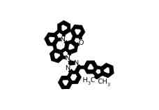 CC1(C)c2ccccc2-c2ccc(-c3nc(-n4c5cccc6c7cccc8c9ccccc9n(c78)c7c8c(cc4c7c65)oc4ccccc48)nc4c3ccc3ccccc34)cc21